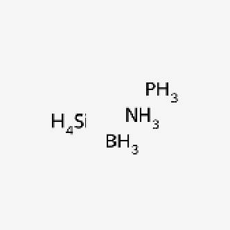 B.N.P.[SiH4]